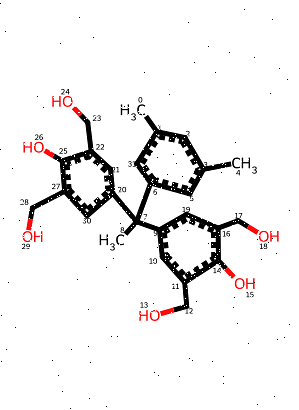 Cc1cc(C)cc(C(C)(c2cc(CO)c(O)c(CO)c2)c2cc(CO)c(O)c(CO)c2)c1